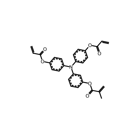 C=CC(=O)Oc1ccc(N(c2ccc(OC(=O)C=C)cc2)c2cccc(OC(=O)C(=C)C)c2)cc1